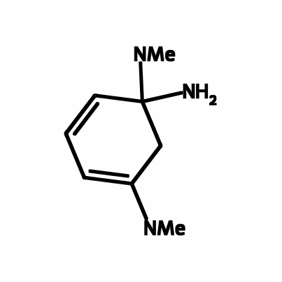 CNC1=CC=CC(N)(NC)C1